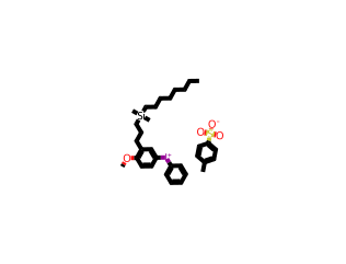 CCCCCCCC[Si](C)(C)CCCc1cc([I+]c2ccccc2)ccc1OC.Cc1ccc(S(=O)(=O)[O-])cc1